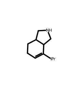 CC(C)C1=CCCC2CNCC12